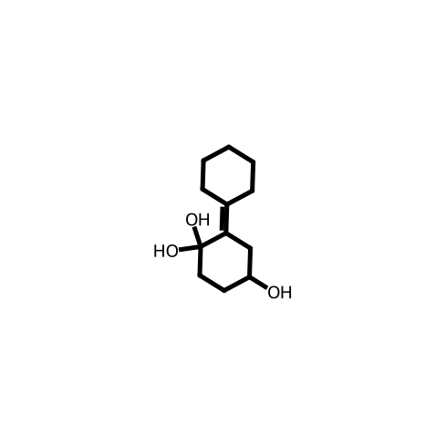 OC1CCC(O)(O)C(=C2CCCCC2)C1